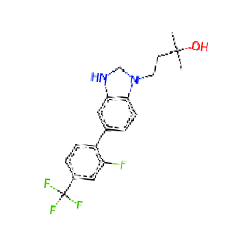 CC(C)(O)CCN1CNc2cc(-c3ccc(C(F)(F)F)cc3F)ccc21